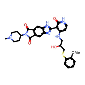 COc1ccccc1SCC(O)CNc1cc[nH]c(=O)c1-c1nc2cc3c(cc2[nH]1)C(=O)N(C1CCN(C)CC1)C3=O